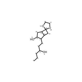 CCCC(O)CCC1C(O)CC2C1CC21OCCO1